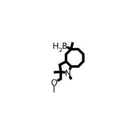 BC1(C)CCCCC2C(C1)CC(C)(COI)N2C